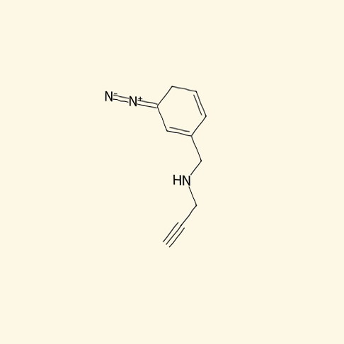 C#CCNCC1=CC(=[N+]=[N-])CC=C1